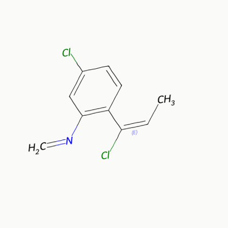 C=Nc1cc(Cl)ccc1/C(Cl)=C\C